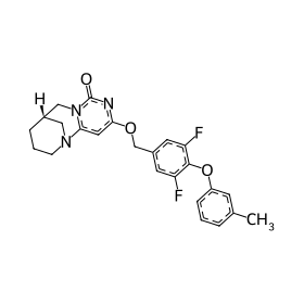 Cc1cccc(Oc2c(F)cc(COc3cc4n(c(=O)n3)C[C@H]3CCCN4C3)cc2F)c1